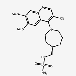 COc1cc2ncc(C#N)c(N3CCC[C@@H](CNS(N)(=O)=O)CC3)c2cc1OC